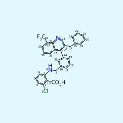 O=C(O)c1c(Cl)cccc1NCc1cccc(-c2c(Cc3ccccc3)cnc3c(C(F)(F)F)cccc23)c1